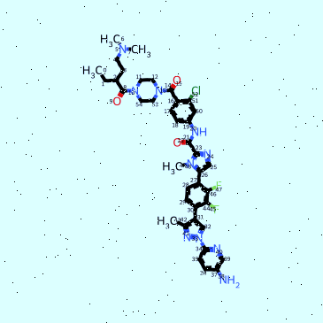 CCC(CCN(C)C)C(=O)N1CCN(C(=O)c2ccc(NC(=O)c3ncc(-c4ccc(-c5cn(-c6ccc(N)cn6)nc5C)c(F)c4F)n3C)cc2Cl)CC1